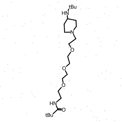 CC(C)(C)NC1CCN(CCOCCOCCOCCNC(=O)C(C)(C)C)CC1